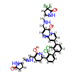 COc1nc(-c2cccc(-c3cccc(-c4ccn5c(=O)c(CNC[C@@H]6CC(F)(F)C(=O)N6)cnc5c4)c3Cl)c2Cl)ccc1CNC[C@@H]1CCC(=O)N1